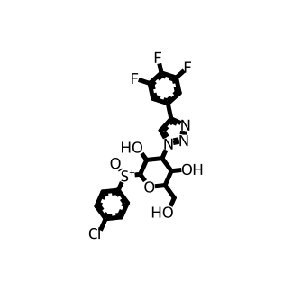 [O-][S+](c1ccc(Cl)cc1)C1OC(CO)C(O)C(n2cc(-c3cc(F)c(F)c(F)c3)nn2)C1O